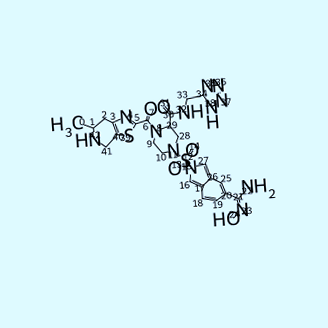 CC1Cc2nc(C(=O)N3CCN(S(=O)(=O)n4cc5ccc(/C(N)=N\O)cc5c4)CC3C(=O)NCc3nnn[nH]3)sc2CN1